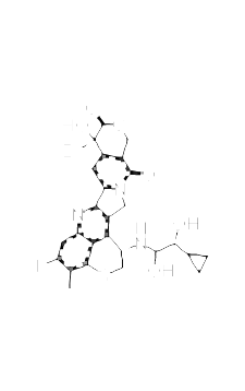 CC[C@@]1(O)C(=O)OCc2c1cc1n(c2=O)Cc2c-1nc1cc(F)c(C)c3c1c2[C@@H](NC(O)[C@@H](O)C1CC1)CS3